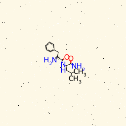 CC(C)CC(NC(=O)[C@H](N)Cc1ccccc1)C(N)=O